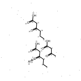 CC(=O)CC(=O)O.CCCC(=O)CC(=O)O.CCCC(=O)CC(=O)O.[Al+3].[Al+3]